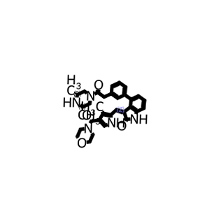 Cc1c(C(=O)N2CCOCC2)c[nH]c1/C=C1\C(=O)Nc2cccc(-c3cccc(CC(=O)N4C[C@@H](C)N[C@@H](C)C4)c3)c21